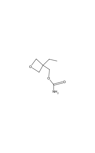 CCC1(COC(N)=O)COC1